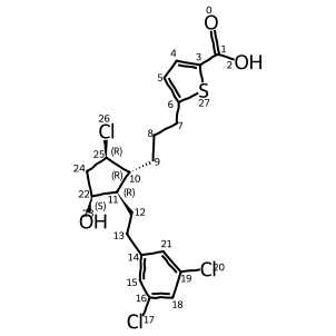 O=C(O)c1ccc(CCC[C@@H]2[C@@H](CCc3cc(Cl)cc(Cl)c3)[C@@H](O)C[C@H]2Cl)s1